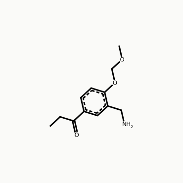 CCC(=O)c1ccc(OCOC)c(CN)c1